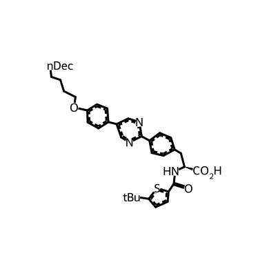 CCCCCCCCCCCCCCOc1ccc(-c2cnc(-c3ccc(C[C@H](NC(=O)c4ccc(C(C)(C)C)s4)C(=O)O)cc3)nc2)cc1